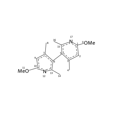 COc1cc(C)c(-c2c(C)cc(OC)nc2C)c(C)n1